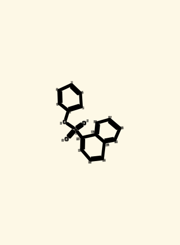 O=S(=O)(Oc1ccccc1)c1cccc2ccccc12